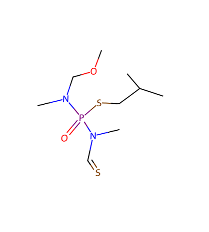 COCN(C)P(=O)(SCC(C)C)N(C)C=S